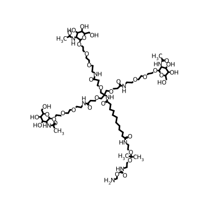 CC(=O)NC1C(OCCOCCOCCNC(=O)CCOCC(COCCC(=O)NCCOCCOCCOC2OC(CO)C(O)C(O)C2NC(C)=O)(COCCC(=O)NCCOCCOCCOC2OC(CO)C(O)C(O)C2NC(C)=O)NC(=O)CCCCCCCCCCC(=O)NCCOC(C)(C)OCCNC(=O)OCN)OC(CO)C(O)C1O